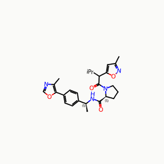 Cc1cc(C(C(=O)N2CCC[C@H]2C(=O)N[C@@H](C)c2ccc(-c3ocnc3C)cc2)C(C)C)on1